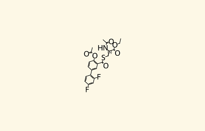 CCOC(=O)[C@@H](CSC(=O)c1cc(-c2ccc(F)cc2F)ccc1OC(C)=O)NC(C)=O